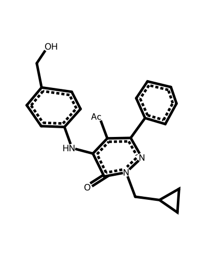 CC(=O)c1c(-c2ccccc2)nn(CC2CC2)c(=O)c1Nc1ccc(CO)cc1